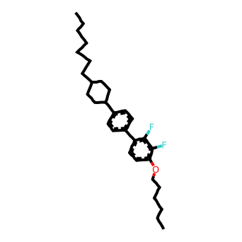 CCCCCCCC1CCC(c2ccc(-c3ccc(OCCCCCC)c(F)c3F)cc2)CC1